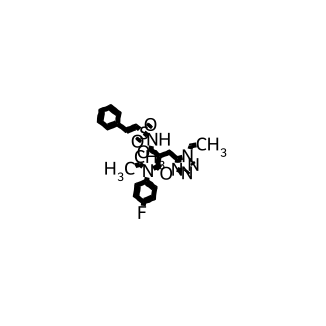 CCn1nnnc1CC(C(=O)NS(=O)(=O)C=Cc1ccccc1)C(=O)N(c1ccc(F)cc1)C(C)C